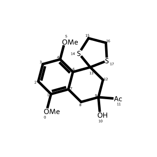 COc1ccc(OC)c2c1CC(O)(C(C)=O)CC21SCCS1